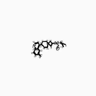 CC(C)(C)[S@@+]([O-])NC1CC2(CCC(c3ccnc4ccc(F)cc34)CC2)C1